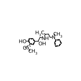 CC(CCN(C)c1ccccc1)NCC(O)c1ccc(O)c([S+](C)[O-])c1